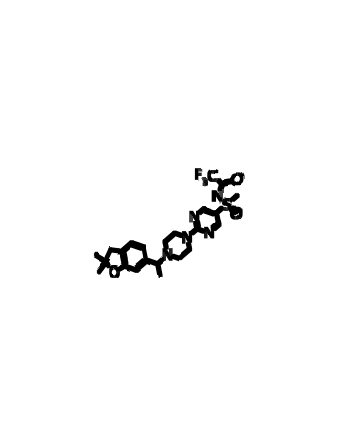 CC(c1ccc2c(c1)OC(C)(C)C2)N1CCN(c2ncc(S(C)(=O)=NC(=O)C(F)(F)F)cn2)CC1